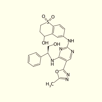 Cc1nnc(-c2cnc(Nc3ccc4c(c3)C(O)CCS4(=O)=O)nc2N[C@H](CO)c2ccccc2)o1